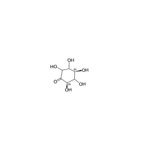 O=C1C(O)C(O)[C@@H](O)C(O)[C@H]1O